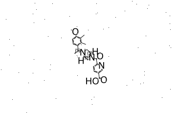 COc1ccc([C@H](C)N2C[C@@H]3C[C@H]2CN3C(=O)c2ccc(C(=O)O)cn2)c(C)c1C